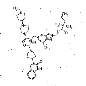 C=CCC(C)(C)C(=O)OCn1cc2cc(C[C@@H](NC(=O)N3CCC(c4cc5ccccc5[nH]c4=O)CC3)C(=O)N3CCN(C4CCN(C)CC4)CC3)cc(C)c2n1